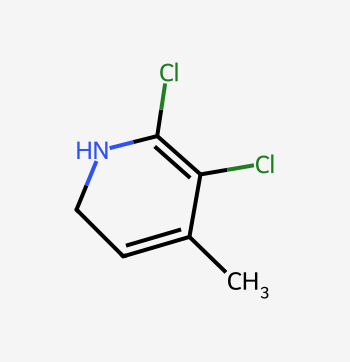 CC1=CCNC(Cl)=C1Cl